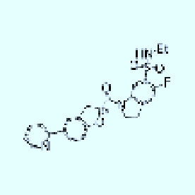 CCNS(=O)(=O)c1cc2c(cc1F)CCN2C(=O)[C@H]1Cc2cc(-c3ccccn3)ccc2O1